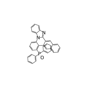 O=P(c1ccccc1)(c1ccccc1)c1cccc2c1c1cc3ccccc3cc1c1nc3ccccc3n21